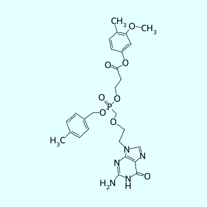 COc1cc(OC(=O)CCOP(=O)(COCCn2cnc3c(=O)[nH]c(N)nc32)OCc2ccc(C)cc2)ccc1C